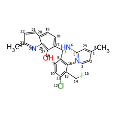 Cc1ccnc(NC(c2ccc(Cl)c(CF)c2)c2ccc3ccc(C)nc3c2O)c1